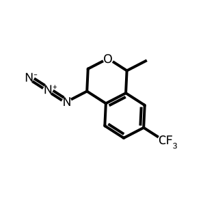 CC1OCC(N=[N+]=[N-])c2ccc(C(F)(F)F)cc21